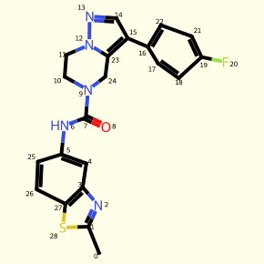 Cc1nc2cc(NC(=O)N3CCn4ncc(-c5ccc(F)cc5)c4C3)ccc2s1